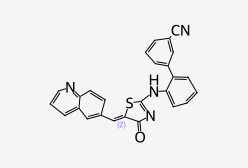 N#Cc1cccc(-c2ccccc2NC2=NC(=O)/C(=C/c3ccc4ncccc4c3)S2)c1